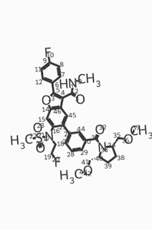 CNC(=O)c1c(-c2ccc(F)cc2)oc2cc(N(CCF)S(C)(=O)=O)c(-c3cccc(C(=O)N4[C@@H](COC)CC[C@@H]4COC)c3)cc12